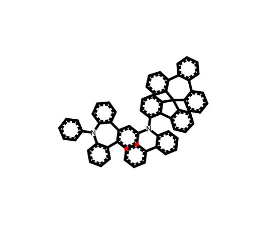 c1ccc(-c2ccccc2N(c2ccc3c(c2)-c2ccccc2N(c2ccccc2)c2ccccc2-3)c2cccc3c2-c2ccccc2C32c3ccccc3-c3ccccc3-c3ccccc32)cc1